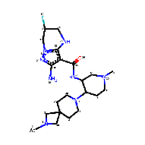 CC(=O)N1CC2(CCN(C3CCN(C)CC3NC(=O)c3c(N)nn4c3NCC(F)C4)CC2)C1